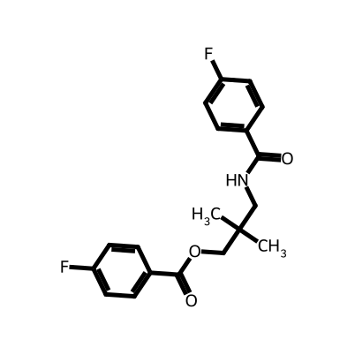 CC(C)(CNC(=O)c1ccc(F)cc1)COC(=O)c1ccc(F)cc1